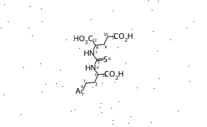 CC(=O)CCC(NC(=S)NC(CCC(=O)O)C(=O)O)C(=O)O